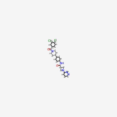 O=C(Nc1ccc(C2CCN(C(=O)c3ccc(Cl)c(Cl)c3)CC2)cc1)C1CN(c2cccnn2)C1